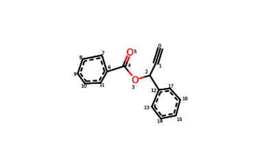 C#CC(OC(=O)c1ccccc1)c1ccccc1